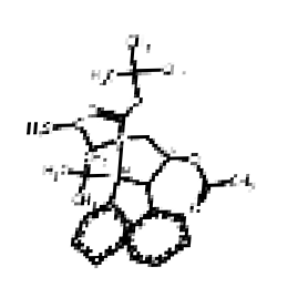 CC(=O)O[C@@H]1C[N+](CO[SiH3])(C(=O)OC(C)(C)C)[C@](c2ccccc2)(C(C)(C)C)C1c1ccccc1